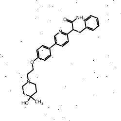 CC1(O)CCN(CCOc2ccc(-c3ccc(C(Cc4ccccc4)C(N)=O)nc3)cc2)CC1